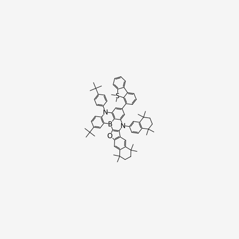 CC(C)(C)c1ccc(N2c3ccc(C(C)(C)C)cc3B3c4oc5cc6c(cc5c4N(c4ccc5c(c4)C(C)(C)CCC5(C)C)c4cc(-c5cccc7c5S(C)(C)c5ccccc5-7)cc2c43)C(C)(C)CCC6(C)C)cc1